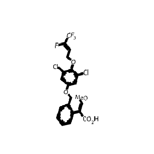 CO/C=C(/C(=O)O)c1ccccc1COc1cc(Cl)c(OCC=C(F)C(F)(F)F)c(Cl)c1